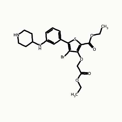 CCOC(=O)COc1c(C(=O)OCC)sc(-c2cccc(NC3CCNCC3)c2)c1Br